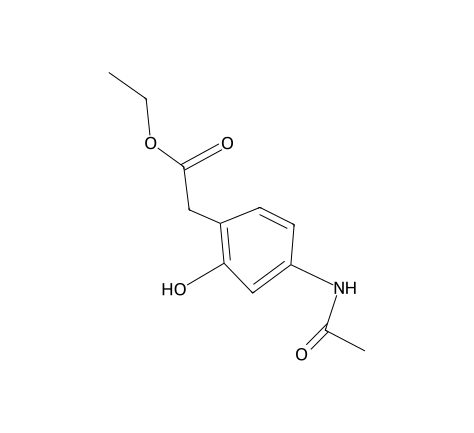 CCOC(=O)Cc1ccc(NC(C)=O)cc1O